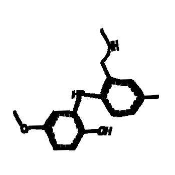 CNCc1cc(C)ccc1Pc1cc(OC)ccc1O